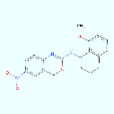 COc1cccc2c1C(NC1=Nc3ccc([N+](=O)[O-])cc3CO1)CCC2